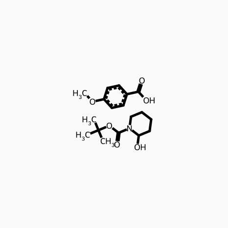 CC(C)(C)OC(=O)N1CCCCC1O.COc1ccc(C(=O)O)cc1